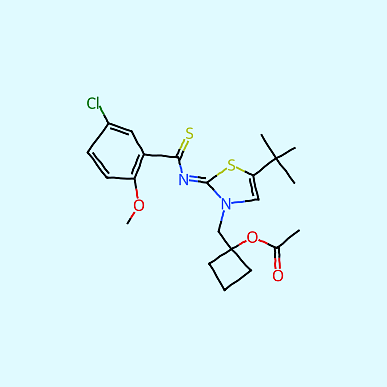 COc1ccc(Cl)cc1C(=S)N=c1sc(C(C)(C)C)cn1CC1(OC(C)=O)CCC1